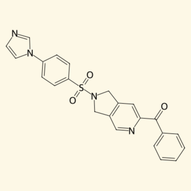 O=C(c1ccccc1)c1cc2c(cn1)CN(S(=O)(=O)c1ccc(-n3ccnc3)cc1)C2